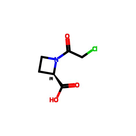 O=C(O)[C@H]1CCN1C(=O)CCl